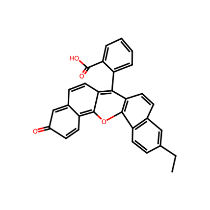 CCc1ccc2c(ccc3c(-c4ccccc4C(=O)O)c4ccc5cc(=O)ccc5c4oc32)c1